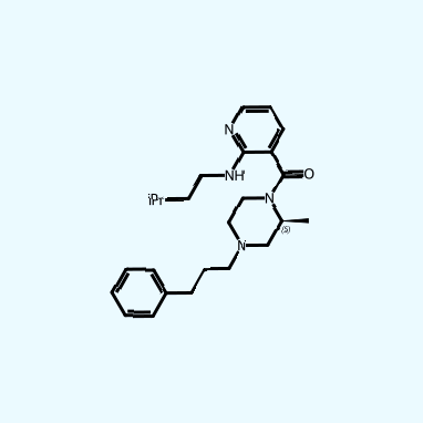 CC(C)CCNc1ncccc1C(=O)N1CCN(CCCc2ccccc2)C[C@@H]1C